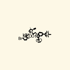 C#C[C@@H]1[C@@H](C)C[C@@H](C(=O)Nc2nc(Br)ccc2C)N1C(=O)Cn1nc(C2OCCO2)c2cc(-c3cnc(C)nc3)ccc21